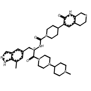 Cc1cc(C[C@@H](NC(=O)N2CCC(c3cc4c([nH]c3=O)CSCC4)CC2)C(=O)N2CCN(C3CCN(C)CC3)CC2)cc2cn[nH]c12